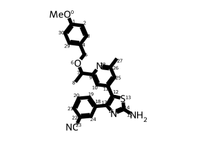 COc1ccc(COC(C)c2cc(-c3sc(N)nc3-c3cccc(C#N)c3)cc(C)n2)cc1